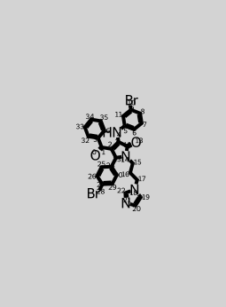 O=C(C1=C(Nc2cccc(Br)c2)C(=O)N(CCCn2ccnc2)C1c1ccc(Br)cc1)c1ccccc1